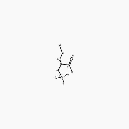 CCOC(C[N+](C)(C)C)C(C)=O